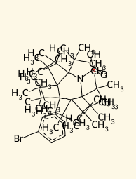 CC(C)(C)C1(c2cccc(Br)c2)C(C(C)(C)C)(C(C)(C)C)C(C(C)(C)C)(C(C)(C)C)N(C(=O)O)C(C(C)(C)C)(C(C)(C)C)C1(C(C)(C)C)C(C)(C)C